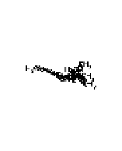 [2H]N1C(c2ccc(C)cc2C)=NC(c2ccc(C)cc2C)=NC1c1ccc(OCC(O)COCCCCCCCCCCCC)cc1O